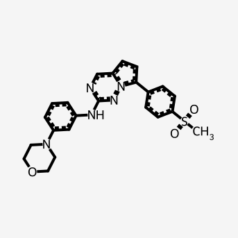 CS(=O)(=O)c1ccc(-c2ccc3cnc(Nc4cccc(N5CCOCC5)c4)nn23)cc1